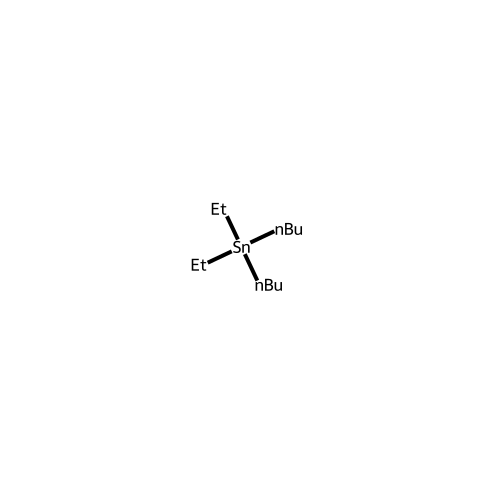 CCC[CH2][Sn]([CH2]C)([CH2]C)[CH2]CCC